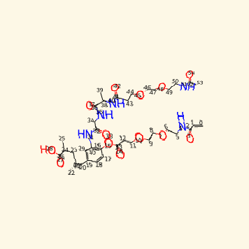 C=CC(=O)NCCOCCOCCC(=O)Oc1ccc(C[C@H](C)CC(C)C(=O)O)cc1NC(=O)CNC(=O)C(C)NC(=O)CCOCCOCCNC(C)=O